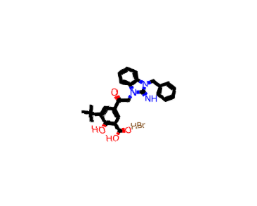 Br.CC(C)(C)c1cc(C(=O)Cn2c(=N)n(Cc3ccccc3)c3ccccc32)cc(C(=O)O)c1O